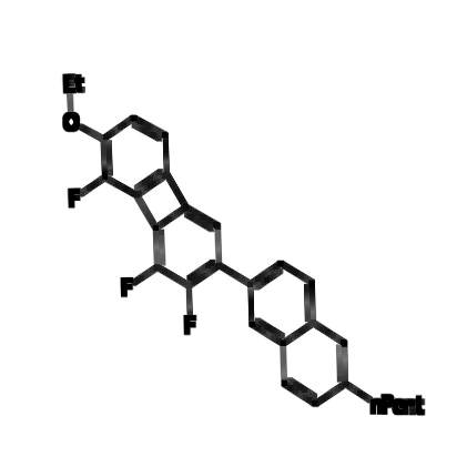 CCCCCc1ccc2cc(-c3cc4c(c(F)c3F)-c3c-4ccc(OCC)c3F)ccc2c1